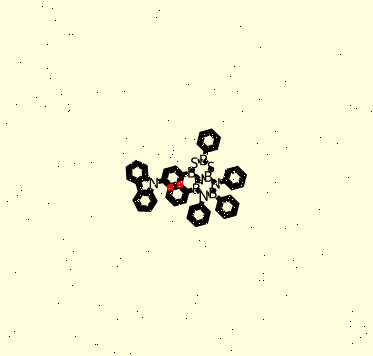 c1ccc(B2SB(c3ccc(-n4c5ccccc5c5ccccc54)cc3)N3B(S2)N(c2ccccc2)B(c2ccccc2)N(c2ccccc2)B3c2ccccc2)cc1